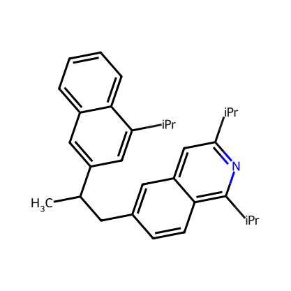 CC(C)c1cc2cc(CC(C)c3cc(C(C)C)c4ccccc4c3)ccc2c(C(C)C)n1